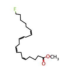 COC(=O)CCC/C=C\C/C=C\C/C=C\C/C=C\CCCCCF